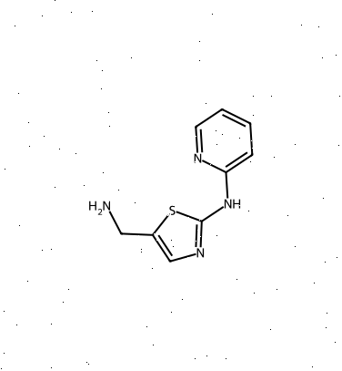 NCc1cnc(Nc2ccccn2)s1